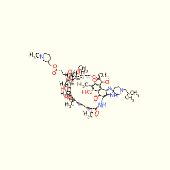 CO[C@H]1/C=C/O[C@@]2(C)Oc3c(C)c(O)c4c(c3C2=O)C2=NC3(CCN(CC(C)C)CC3)NC2=C(NC(=O)/C(C)=C\C=C\[C@H](C)[C@H](O)[C@@H](C)[C@@H](O)[C@@H](C)[C@H](OC(=O)CCC(=O)OCC2CCCN(C)C2)[C@@H]1C)C4=O